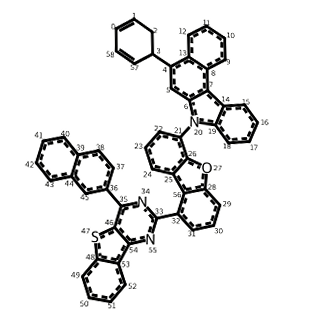 C1=CCC(c2cc3c(c4ccccc24)c2ccccc2n3-c2cccc3c2oc2cccc(-c4nc(-c5ccc6ccccc6c5)c5sc6ccccc6c5n4)c23)C=C1